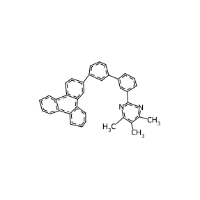 Cc1nc(-c2cccc(-c3cccc(-c4ccc5c6ccccc6c6ccccc6c5c4)c3)c2)nc(C)c1C